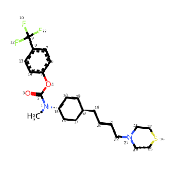 CN(C(=O)Oc1ccc(C(F)(F)F)cc1)[C@H]1CC[C@H](CCCCN2CCSCC2)CC1